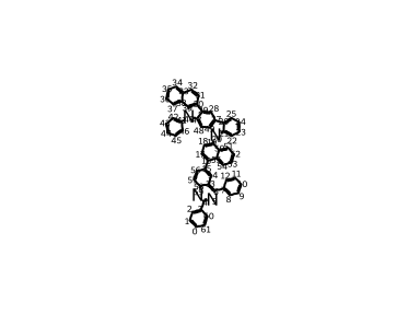 c1ccc(-c2nc(-c3ccccc3)c3cc(-c4ccc(-n5c6ccccc6c6cc7c8ccc9ccccc9c8n(-c8ccccc8)c7cc65)c5ccccc45)ccc3n2)cc1